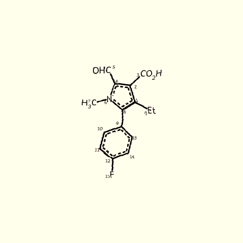 CCc1c(C(=O)O)c(C=O)n(C)c1-c1ccc(F)cc1